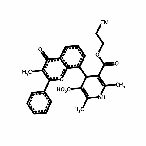 CC1=C(C(=O)O)C(c2cccc3c(=O)c(C)c(-c4ccccc4)oc23)C(C(=O)OCCC#N)=C(C)N1